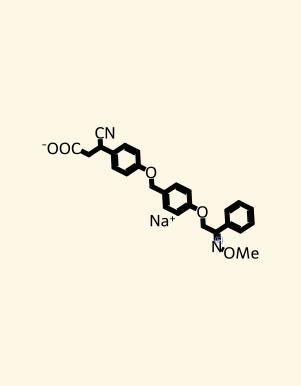 CO/N=C(/COc1ccc(COc2ccc(C(C#N)CC(=O)[O-])cc2)cc1)c1ccccc1.[Na+]